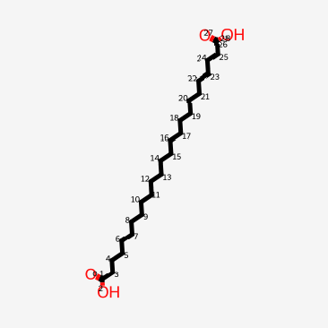 O=C(O)CCCCCCCCCCCCCCCCCCCCCCCC(=O)O